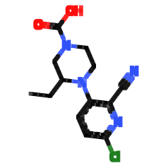 CCC1CN(C(=O)O)CCN1c1ccc(Cl)nc1C#N